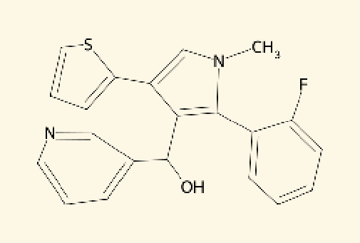 Cn1cc(-c2cccs2)c(C(O)c2cccnc2)c1-c1ccccc1F